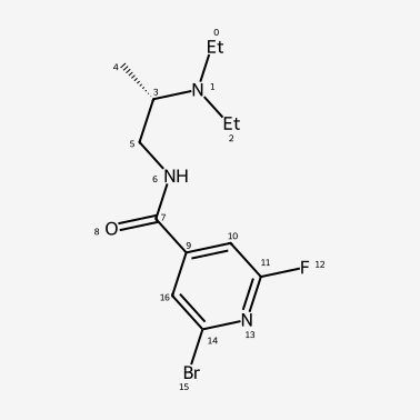 CCN(CC)[C@@H](C)CNC(=O)c1cc(F)nc(Br)c1